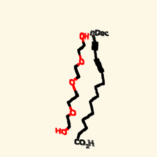 CCCCCCCCCCC#CC#CCCCCCCCCC(=O)O.OCCOCCOCCOCCO